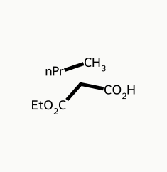 CCCC.CCOC(=O)CC(=O)O